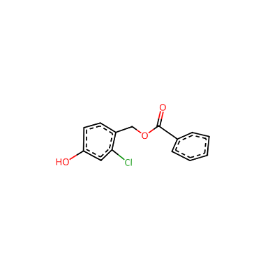 O=C(OCc1ccc(O)cc1Cl)c1ccccc1